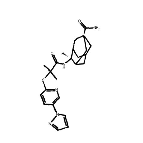 CC(C)(Oc1ccc(-n2cccn2)cn1)C(=O)N[C@H]1C2CC3CC1C[C@@](C(N)=O)(C3)C2